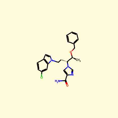 C[C@H](OCc1ccccc1)[C@@H](CCn1ccc2ccc(Cl)cc21)n1cnc(C(N)=O)c1